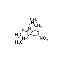 CN(C)Cn1c(=S)n(CN(C)C)c2cc([N+](=O)[O-])ccc21